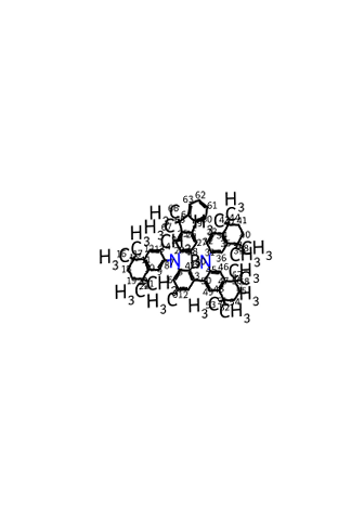 Cc1cc2c3c(c1)N(c1cc4c(cc1C)C(C)(C)CCC4(C)C)c1cc4c(cc1B3N(c1ccc3c(c1)C(C)(C)CCC3(C)C)c1cc3c(cc1-2)C(C)(C)CCC3(C)C)-c1ccccc1C4(C)C